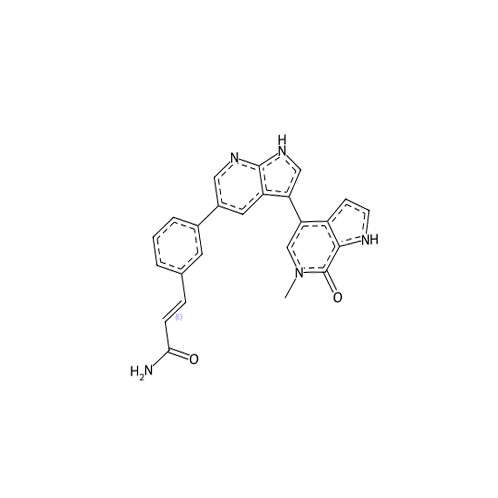 Cn1cc(-c2c[nH]c3ncc(-c4cccc(/C=C/C(N)=O)c4)cc23)c2cc[nH]c2c1=O